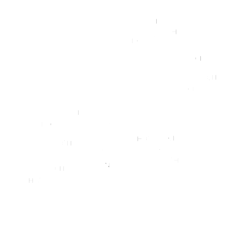 CC(C)(C)c1cccc(N(c2cc(-c3ccc(-c4cc(C(C)(C)C)cc(C(C)(C)C)c4)cc3)cc(C(C)(C)C)c2)c2ccc3c(c2)C(C)(C)c2ccccc2-3)c1